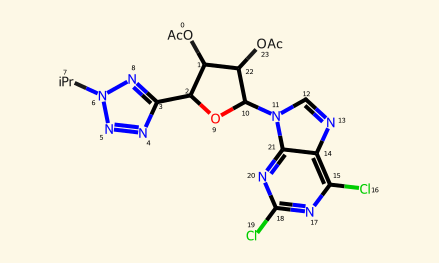 CC(=O)OC1C(c2nnn(C(C)C)n2)OC(n2cnc3c(Cl)nc(Cl)nc32)C1OC(C)=O